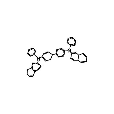 C1=CC2C=CC(N(c3ccccc3)c3ccc(C4C=CC(N(c5ccccc5)c5ccc6c(c5)CCC=C6)=CC4)cc3)=CC2C=C1